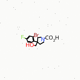 O=C(O)N1CCC(CO)(c2ccc(F)cc2Br)CC1